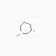 CN1CC[C@H](O)[C@@H](O)C1